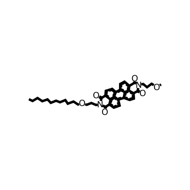 CCCCCCCCCCCCOCCCN1C(=O)c2ccc3c4ccc5c6c(ccc(c7ccc(c2c37)C1=O)c64)C(=O)N(CCCOC)C5=O